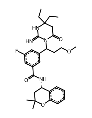 CCC1(CC)CC(=O)N(C(CCOC)c2cc(F)cc(C(=O)N[C@H]3CC(C)(C)Oc4ccccc43)c2)C(=N)N1